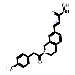 Cc1ccc(CC(=O)N2CCc3ccc(/C=C/C(=O)NO)cc3C2)cc1